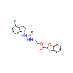 O=C(OCCNC(=S)NC1CCc2c(F)cccc21)C1Cc2ccccc2O1